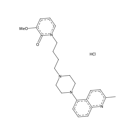 COc1cccn(CCCCN2CCN(c3cccc4nc(C)ccc34)CC2)c1=O.Cl